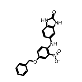 O=c1[nH]c2ccc(Nc3ccc(OCc4ccccc4)cc3[N+](=O)[O-])cc2[nH]1